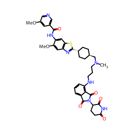 COc1cncc(C(=O)Nc2cc3sc([C@H]4CC[C@H](CN(C)CCCNc5cccc6c5C(=O)N(C5CCC(=O)NC5=O)C6=O)CC4)nc3cc2OC)c1